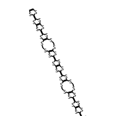 C1=CSC(=C2SC3=C(S2)SC(=C2SC4=C(SCSC5=C(SCS4)SC(=C4SC6=C(S4)SC(=C4SC7=C(SCSC8=C(SCS7)SC(=C7SC9=C(SC(=C%10SC=CS%10)S9)S7)S8)S4)S6)S5)S2)S3)S1